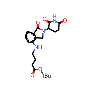 CC(C)(C)OC(=O)CCCNc1cccc2c1CN(C1CCC(=O)NC1=O)C2=O